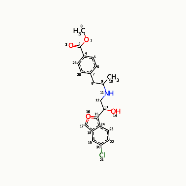 COC(=O)c1ccc(CC(C)NCC(O)c2occ3cc(Cl)ccc23)cc1